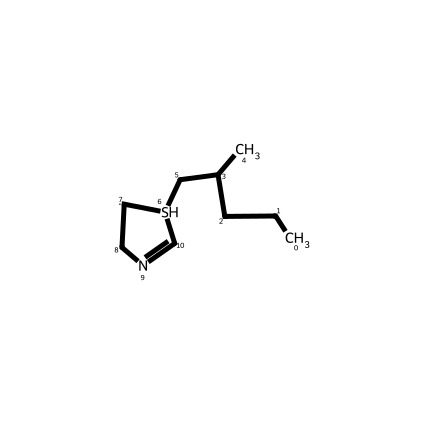 CCCC(C)C[SH]1[CH]CN=C1